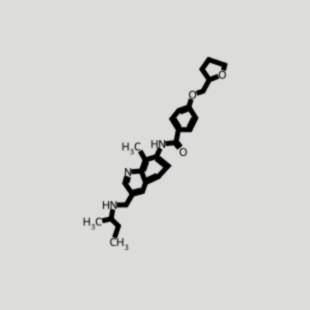 CCC(C)NCc1cnc2c(C)c(NC(=O)c3ccc(OCC4CCCO4)cc3)ccc2c1